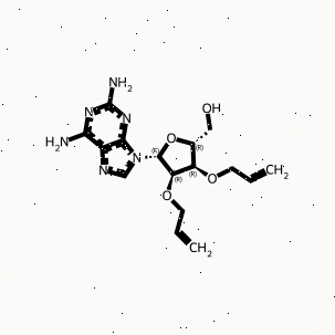 C=CCO[C@@H]1[C@H](OCC=C)[C@@H](CO)O[C@H]1n1cnc2c(N)nc(N)nc21